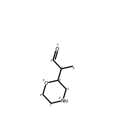 CC(C=O)C1CNCCO1